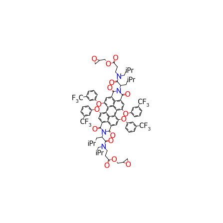 CC(C)CC(C(=O)N(CCC(=O)OCC1CO1)CC(C)C)N1C(=O)c2cc(Oc3cccc(C(F)(F)F)c3)c3c4c(Oc5cccc(C(F)(F)F)c5)cc5c6c(cc(Oc7cccc(C(F)(F)F)c7)c(c7c(Oc8cccc(C(F)(F)F)c8)cc(c2c37)C1=O)c64)C(=O)N(C(CC(C)C)C(=O)N(CCC(=O)OCC1CO1)CC(C)C)C5=O